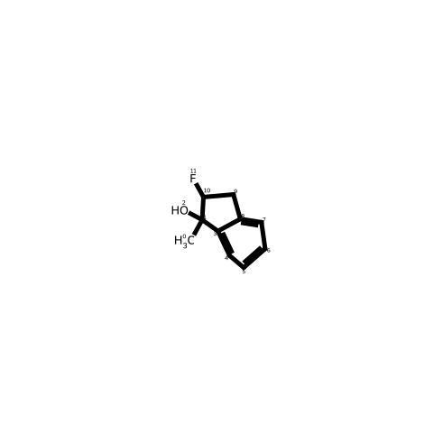 CC1(O)c2ccccc2CC1F